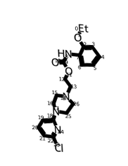 CCOc1ccccc1NC(=O)OCCN1CCN(c2cccc(Cl)n2)CC1